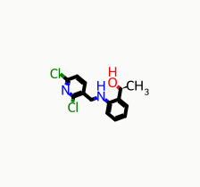 C[C@@H](O)c1ccccc1NCc1ccc(Cl)nc1Cl